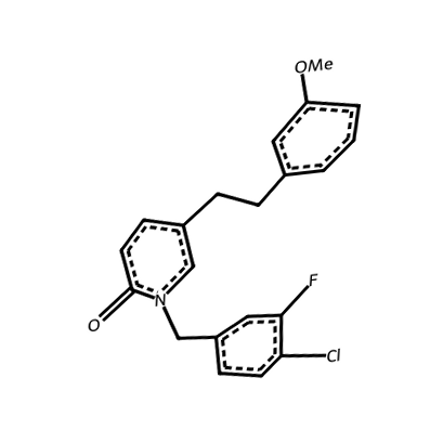 COc1cccc(CCc2ccc(=O)n(Cc3ccc(Cl)c(F)c3)c2)c1